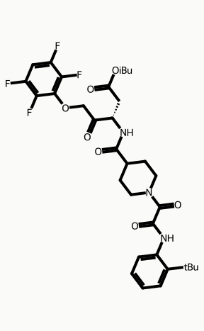 CC(C)COC(=O)C[C@H](NC(=O)C1CCN(C(=O)C(=O)Nc2ccccc2C(C)(C)C)CC1)C(=O)COc1c(F)c(F)cc(F)c1F